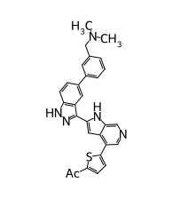 CC(=O)c1ccc(-c2cncc3[nH]c(-c4n[nH]c5ccc(-c6cccc(CN(C)C)c6)cc45)cc23)s1